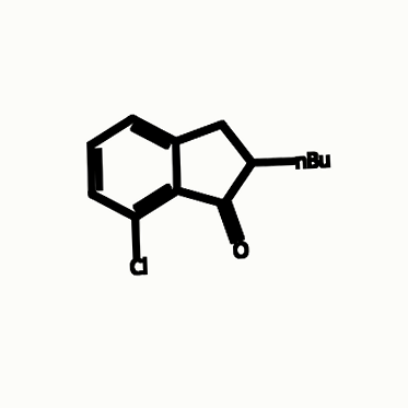 CCCCC1Cc2cccc(Cl)c2C1=O